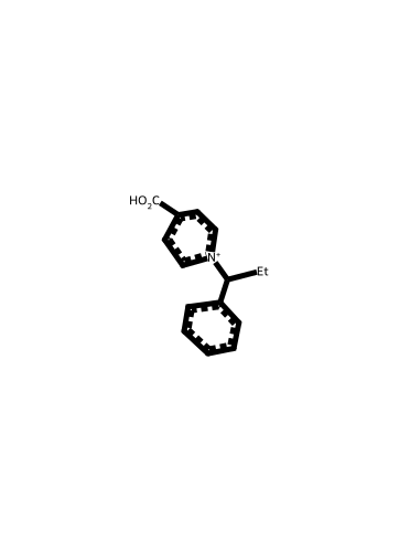 CCC(c1ccccc1)[n+]1ccc(C(=O)O)cc1